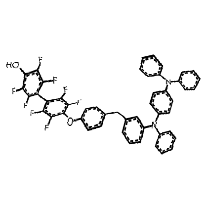 Oc1c(F)c(F)c(-c2c(F)c(F)c(Oc3ccc(Cc4cccc(N(c5ccccc5)c5ccc(N(c6ccccc6)c6ccccc6)cc5)c4)cc3)c(F)c2F)c(F)c1F